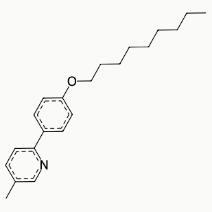 CCCCCCCCCOc1ccc(-c2ccc(C)cn2)cc1